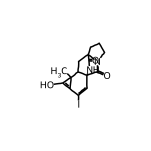 CC12C(O)=C1C(I)=CC13NC(=O)C4(CCCN4C1=O)CC32